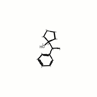 CC(c1ccccc1)C1(O)CCCC1